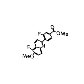 COC(=O)c1ccc(-c2ccc3c(F)c(OC)ccc3n2)c(F)c1